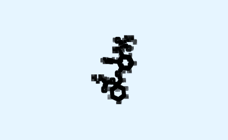 N#Cc1c(NS(N)(=O)=O)cccc1OCC1(OC(N)=O)CCCCC1